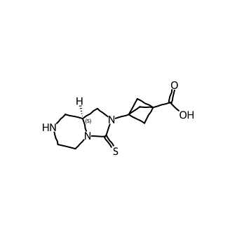 O=C(O)C12CC(N3C[C@@H]4CNCCN4C3=S)(C1)C2